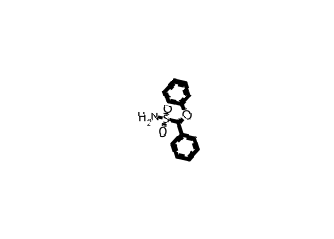 NS(=O)(=O)C(Oc1ccccc1)c1ccccc1